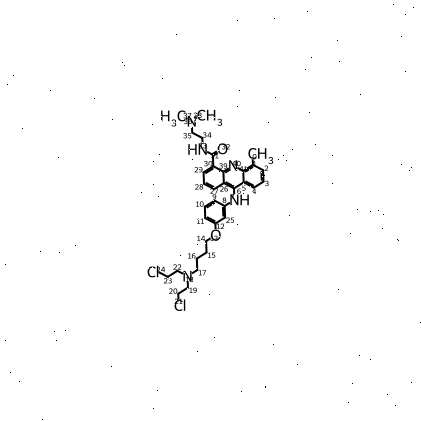 Cc1cccc2c(Nc3cccc(OCCCCN(CCCl)CCCl)c3)c3cccc(C(=O)NCCN(C)C)c3nc12